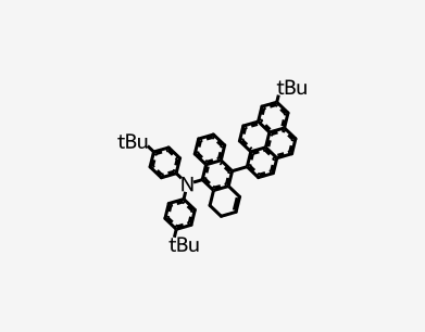 CC(C)(C)c1ccc(N(c2ccc(C(C)(C)C)cc2)c2c3c(c(-c4ccc5ccc6cc(C(C)(C)C)cc7ccc4c5c67)c4ccccc24)C=CCC3)cc1